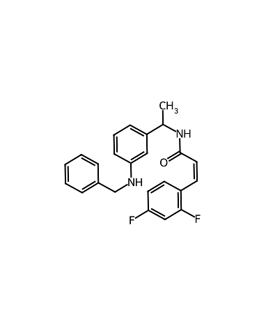 CC(NC(=O)/C=C\c1ccc(F)cc1F)c1cccc(NCc2ccccc2)c1